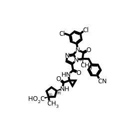 C[C@]1(C(=O)O)CC[C@@H](NC(=O)C2(NC(=O)c3cnc4n3[C@](C)(Cc3ccc(C#N)cc3)C(=O)N4c3cc(Cl)cc(Cl)c3)CC2)C1